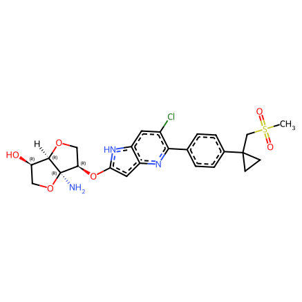 CS(=O)(=O)CC1(c2ccc(-c3nc4cc(O[C@@H]5CO[C@@H]6[C@H](O)CO[C@@]65N)[nH]c4cc3Cl)cc2)CC1